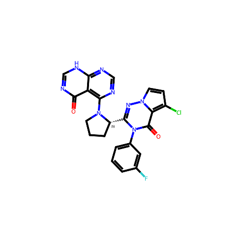 O=c1nc[nH]c2ncnc(N3CCC[C@H]3c3nn4ccc(Cl)c4c(=O)n3-c3cccc(F)c3)c12